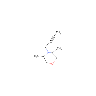 [CH2]C#CCN1C(C)COCC1C